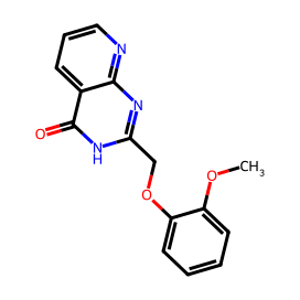 COc1ccccc1OCc1nc2ncccc2c(=O)[nH]1